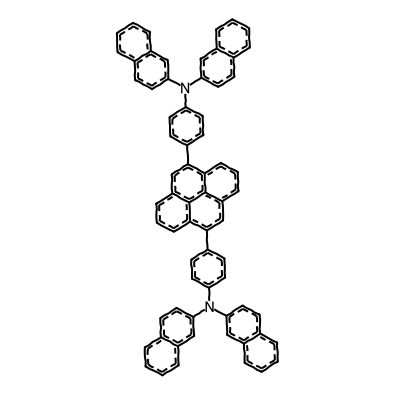 c1ccc2cc(N(c3ccc(-c4cc5cccc6c(-c7ccc(N(c8ccc9ccccc9c8)c8ccc9ccccc9c8)cc7)cc7cccc4c7c56)cc3)c3ccc4ccccc4c3)ccc2c1